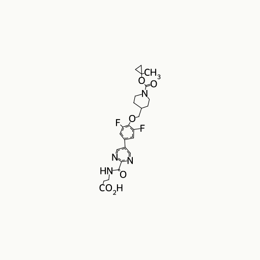 CC1(OC(=O)N2CCC(COc3c(F)cc(-c4cnc(C(=O)NCCC(=O)O)nc4)cc3F)CC2)CC1